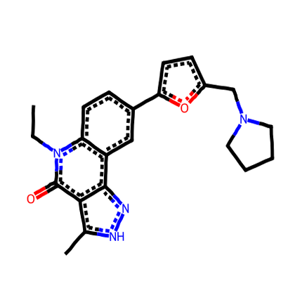 CCn1c(=O)c2c(C)[nH]nc2c2cc(-c3ccc(CN4CCCC4)o3)ccc21